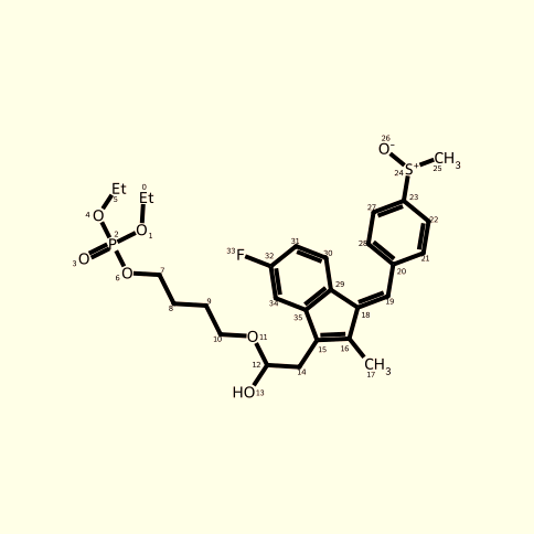 CCOP(=O)(OCC)OCCCCOC(O)CC1=C(C)/C(=C/c2ccc([S+](C)[O-])cc2)c2ccc(F)cc21